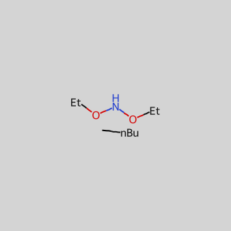 CCCCC.CCONOCC